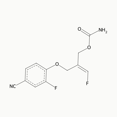 N#Cc1ccc(OC/C(=C\F)COC(N)=O)c(F)c1